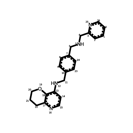 c1ccc(CNCc2ccc(CNc3ccnc4c3OCCC4)cc2)nc1